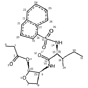 CCC(=O)O[C@@H]1OCC[C@@H]1NC(=O)[C@@H](NS(=O)(=O)c1cccc2ccccc12)C(C)CC